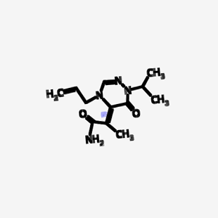 C=CCN1C=NN(C(C)C)C(=O)/C1=C(\C)C(N)=O